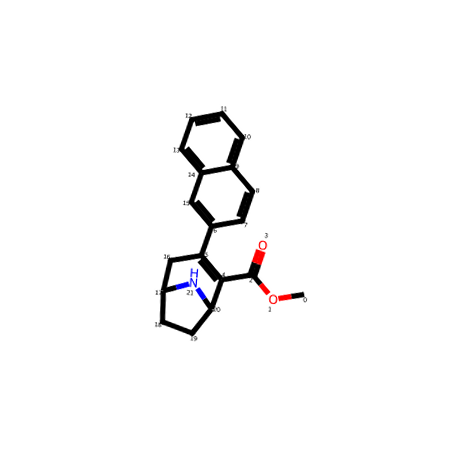 COC(=O)C1=C(c2ccc3ccccc3c2)CC2CCC1N2